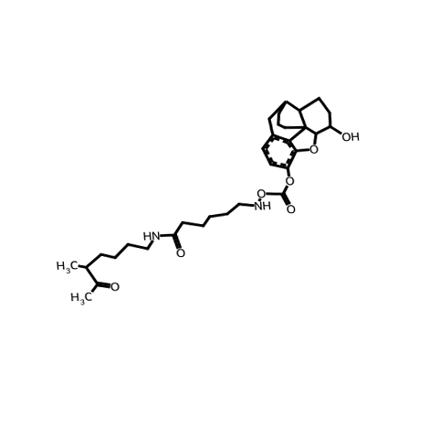 CC(=O)C(C)CCCCNC(=O)CCCCCNOC(=O)Oc1ccc2c3c1OC1C(O)CCC4C(CCCC341)C2